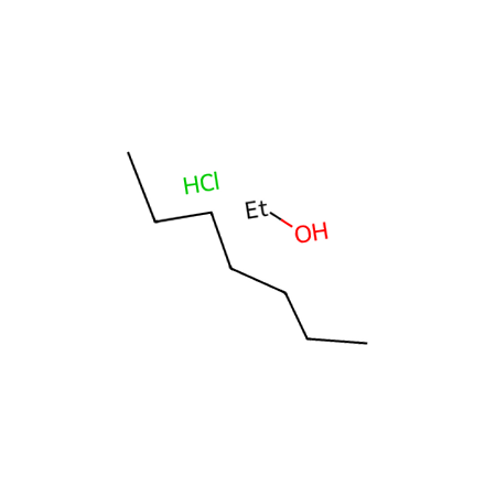 CCCCCCC.CCO.Cl